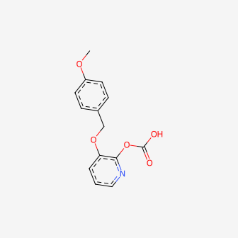 COc1ccc(COc2cccnc2OC(=O)O)cc1